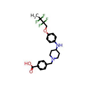 CC(F)(F)C(F)(F)COc1ccc(NC2CCN(Cc3ccc(C(=O)O)cc3)CC2)cc1